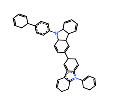 C1=CCCC(n2c3c(c4c2=CCC(C2=CC5C6C=CC=CC6N(c6ccc(C7C=CC=CC7)cc6)C5C=C2)C=4)C=CCC3)=C1